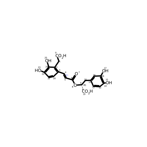 O=C(O)Cc1c(/C=C/C(=O)O[C@H](Cc2ccc(O)c(O)c2)C(=O)O)ccc(O)c1O